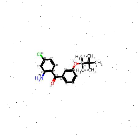 CC(C)(C)[Si](C)(C)Oc1cccc(C(=O)c2ccc(Cl)cc2N)c1